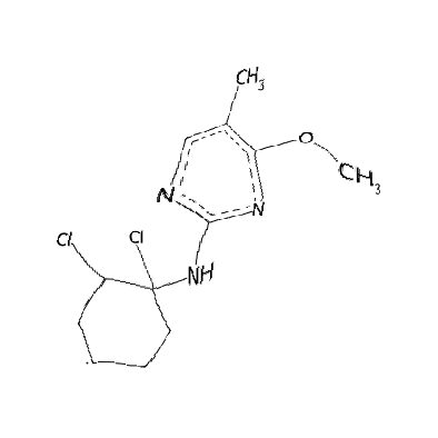 COc1nc(NC2(Cl)CC[CH]CC2Cl)ncc1C